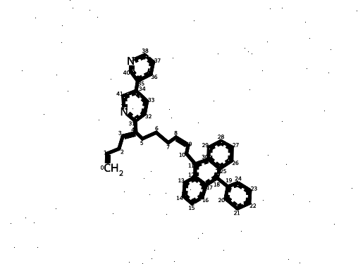 C=CC/C=C(\CCC/C=C\Cc1c2ccccc2c(-c2ccccc2)c2ccccc12)c1ccc(-c2cccnc2)cn1